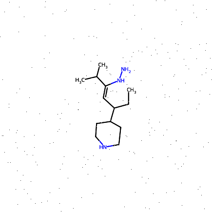 CCC(/C=C(\NN)C(C)C)C1CCNCC1